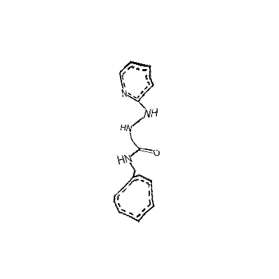 O=C(NNc1ccccn1)Nc1ccccc1